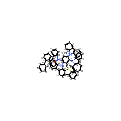 N#Cc1c(-n2c3c(c4ccccc42)C=CCC3)c(-n2c3c(c4ccccc42)C=CCC#C3)c(C#N)c(-n2c3cc(-c4ccccc4-c4ccccc4)ccc3c3ccc4c5ccccc5sc4c32)c1-n1c2ccccc2c2ccccc21